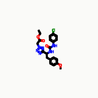 CCOC(=O)Cn1nnc(C(Cc2ccc(OC)cc2)NC(=O)Nc2ccc(Cl)cc2)n1